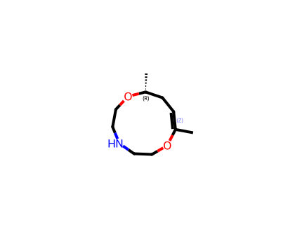 C/C1=C/C[C@@H](C)OCCNCCO1